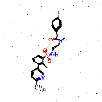 CCN(CCNS(=O)(=O)c1cccc(-c2ccc(OC)nc2)c1C)C(=O)c1ccc(F)cc1